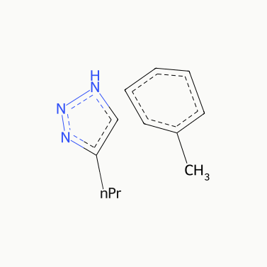 CCCc1c[nH]nn1.Cc1ccccc1